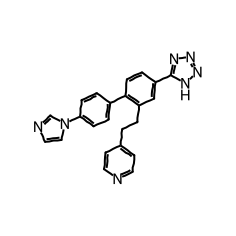 c1cc(CCc2cc(-c3nnn[nH]3)ccc2-c2ccc(-n3ccnc3)cc2)ccn1